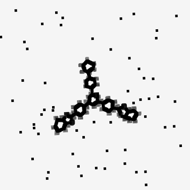 c1ccc(-c2ccc(-c3cc(-c4ccc(-c5nc6ccccc6o5)cc4)cc(-c4ccc(-c5nc6ccccc6o5)cc4)n3)cc2)cc1